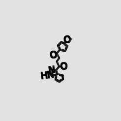 COc1ccc(C(=O)CCC(=O)c2n[nH]c3ccccc23)cc1